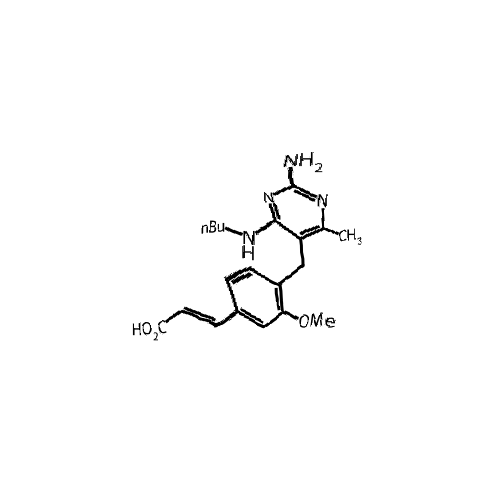 CCCCNc1nc(N)nc(C)c1Cc1ccc(C=CC(=O)O)cc1OC